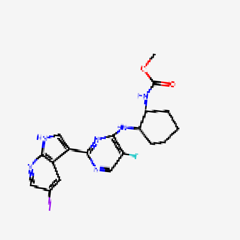 COC(=O)N[C@H]1CCCCC1Nc1nc(-c2c[nH]c3ncc(I)cc23)ncc1F